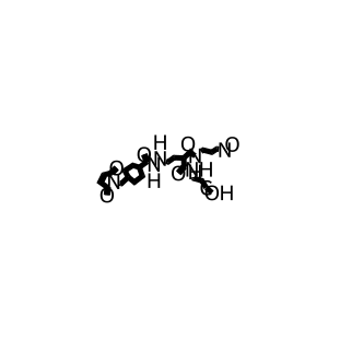 O=NCCCNC(=O)C(CCNNC(=O)C1CCC(CN2C(=O)C=CC2=O)CC1)C(=O)NCCCO